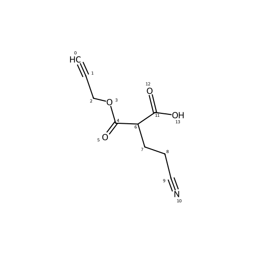 C#CCOC(=O)C(CCC#N)C(=O)O